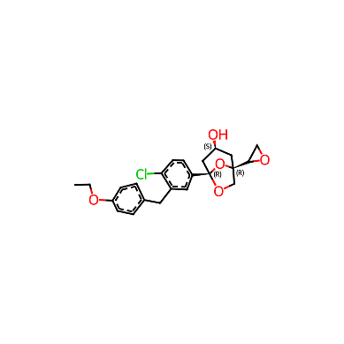 CCOc1ccc(Cc2cc([C@]34C[C@@H](O)C[C@](C5CO5)(CO3)O4)ccc2Cl)cc1